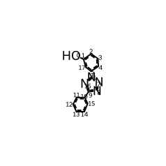 Oc1cccc(-n2nnc(-c3ccccc3)n2)c1